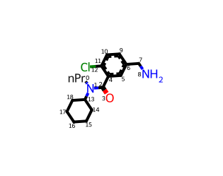 CCCN(C(=O)c1cc(CN)ccc1Cl)C1CCCCC1